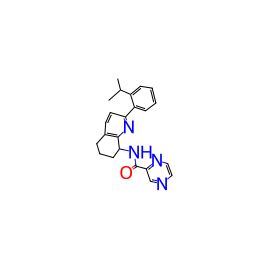 CC(C)c1ccccc1-c1ccc2c(n1)C(NC(=O)c1cnccn1)CCC2